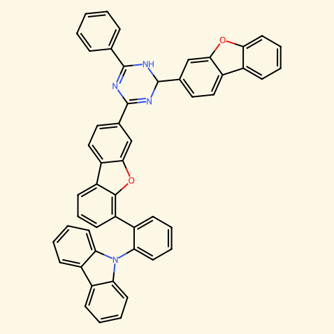 c1ccc(C2=NC(c3ccc4c(c3)oc3c(-c5ccccc5-n5c6ccccc6c6ccccc65)cccc34)=NC(c3ccc4c(c3)oc3ccccc34)N2)cc1